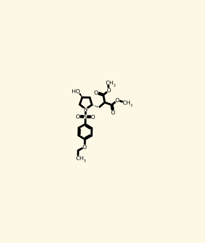 CCOc1ccc(S(=O)(=O)N2C[C@@H](O)C[C@@H]2CC(C(=O)OC)C(=O)OC)cc1